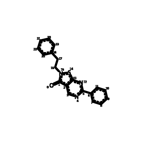 O=c1c2cnc(-c3ccccc3)nc2sn1CCc1ccccc1